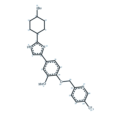 COc1cc(-c2c[nH]c(C3CCC(C(C)(C)C)CC3)n2)ccc1OCc1ccc(C(F)(F)F)cn1